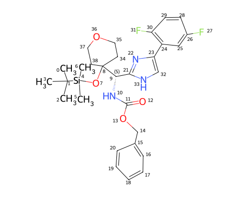 CC(C)(C)[Si](C)(C)OC1([C@@H](NC(=O)OCc2ccccc2)c2nc(-c3cc(F)ccc3F)c[nH]2)CCOCC1